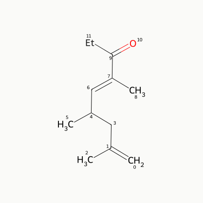 C=C(C)CC(C)C=C(C)C(=O)CC